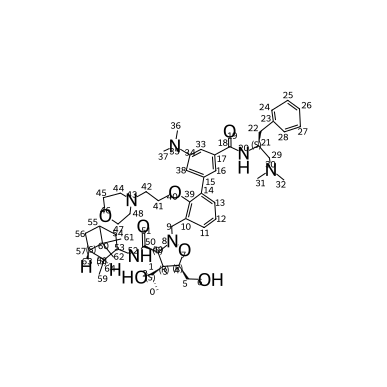 C[C@H](O)[C@@H]1[C@H](CO)ON(Cc2cccc(-c3cc(C(=O)N[C@@H](Cc4ccccc4)CN(C)C)cc(N(C)C)c3)c2OCCN2CCOCC2)[C@@H]1C(=O)NC1CC2C[C@@H]([C@@H]1C)C2(C)C